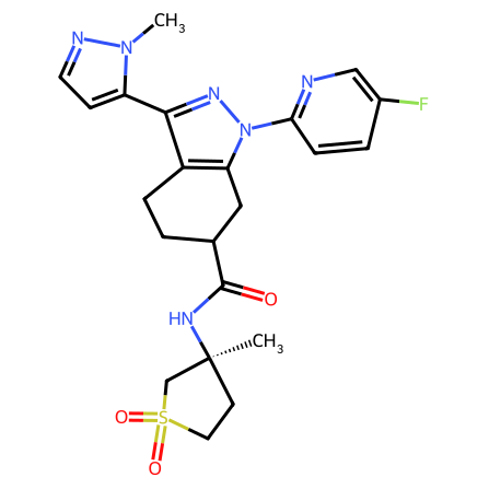 Cn1nccc1-c1nn(-c2ccc(F)cn2)c2c1CCC(C(=O)N[C@@]1(C)CCS(=O)(=O)C1)C2